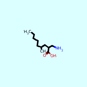 CCCCCC(C)CC(CN)C(=O)O